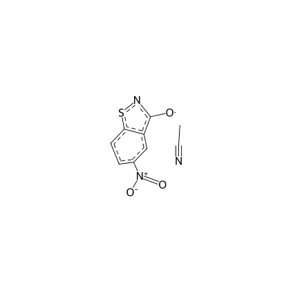 CC#N.[O]c1nsc2ccc([N+](=O)[O-])cc12